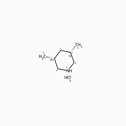 C[C@@H]1CNC[C@H](C)C1.Cl